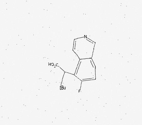 CC(C)(C)C(C(=O)O)c1c(F)ccc2cnccc12